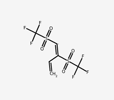 C=C/C(=[C]\S(=O)(=O)C(F)(F)F)S(=O)(=O)C(F)(F)F